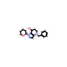 O=C1CCN(Cc2ccccc2)c2cnn(C3CCCCO3)c21